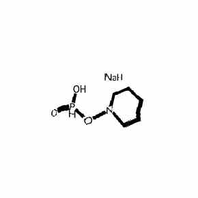 O=[PH](O)ON1CCCCC1.[NaH]